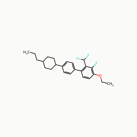 CCCC1CCC(c2ccc(-c3ccc(OCC)c(F)c3C(F)F)cc2)CC1